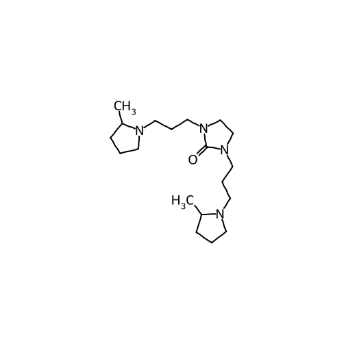 CC1CCCN1CCCN1CCN(CCCN2CCCC2C)C1=O